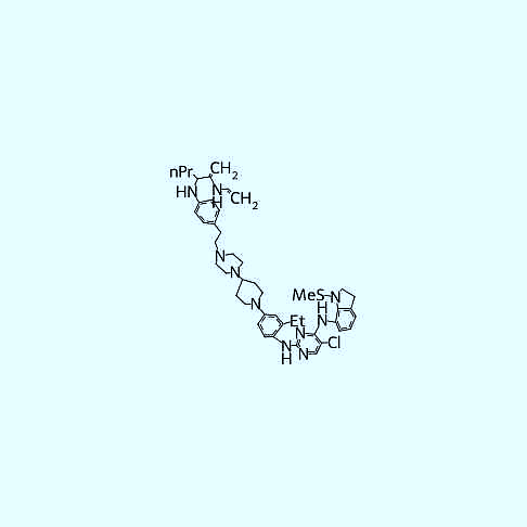 C=CNC(=C)C(CCC)Nc1ccc(CCN2CCN(C3CCN(c4ccc(Nc5ncc(Cl)c(Nc6cccc7c6N(SC)CC7)n5)c(CC)c4)CC3)CC2)cc1